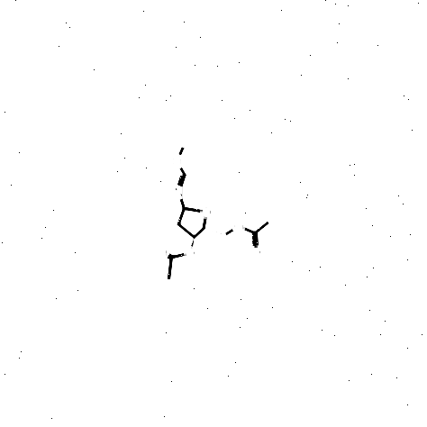 COC=NC1C[C@H](OC(C)=O)[C@@H](COC(C)=O)O1